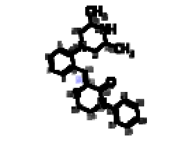 CC1CN(c2ccccc2/C=C2\SCCN(c3ccccc3)C2=O)CC(C)N1